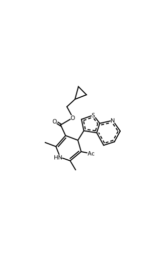 CC(=O)C1=C(C)NC(C)=C(C(=O)OCC2CC2)C1c1csc2ncccc12